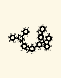 c1ccc(-c2nc(-c3ccccc3)nc(-c3ccc4sc5ccc(-c6ccc(C7(c8ccc9sc%10ccccc%10c9c8)c8ccccc8-c8ccccc87)cc6)cc5c4c3)n2)cc1